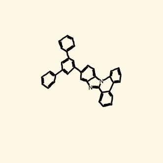 c1ccc(-c2cc(-c3ccccc3)cc(-c3ccc4c(c3)nc3c5ccccc5c5ccccc5n43)c2)cc1